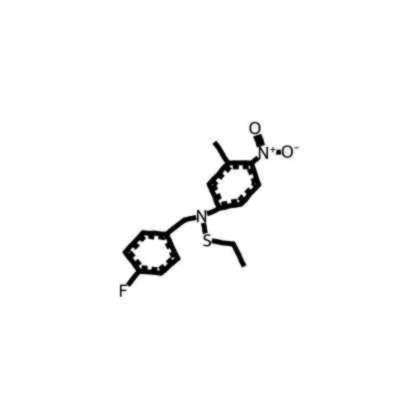 CCSN(Cc1ccc(F)cc1)c1ccc([N+](=O)[O-])c(C)c1